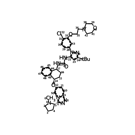 CN1CCC[C@H]1c1nnc2ccc(O[C@@H]3CC[C@H](NC(=O)Nc4cc(C(C)(C)C)nn4-c4ccc(Cl)c(OCCN5CCOCC5)c4)c4ccccc43)cn12